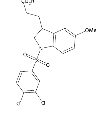 COc1ccc2c(c1)C(CCC(=O)O)CN2S(=O)(=O)c1ccc(Cl)c(Cl)c1